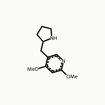 COc1cc(OC)c(CC2CCCN2)cn1